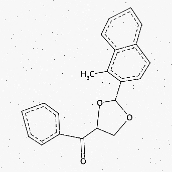 Cc1c(C2OCC(C(=O)c3ccccc3)O2)ccc2ccccc12